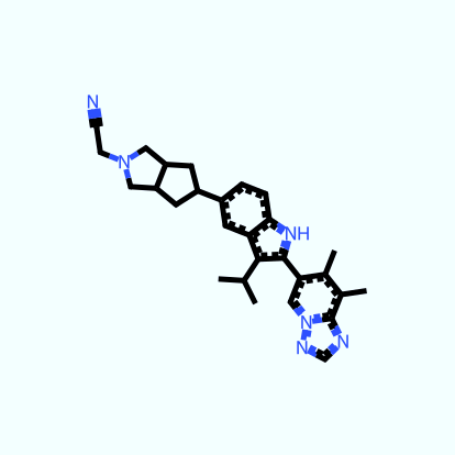 Cc1c(-c2[nH]c3ccc(C4CC5CN(CC#N)CC5C4)cc3c2C(C)C)cn2ncnc2c1C